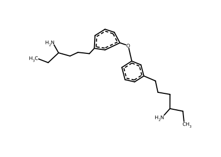 CCC(N)CCCc1cccc(Oc2cccc(CCCC(N)CC)c2)c1